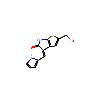 O=C1Nc2sc(CO)cc2C1=Cc1ccc[nH]1